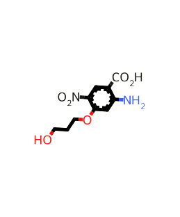 Nc1cc(OCCCO)c([N+](=O)[O-])cc1C(=O)O